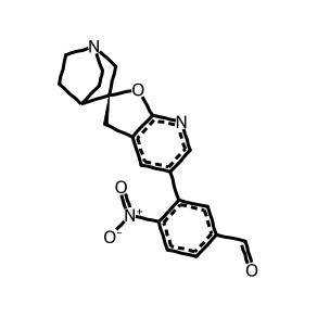 O=Cc1ccc([N+](=O)[O-])c(-c2cnc3c(c2)C[C@@]2(CN4CCC2CC4)O3)c1